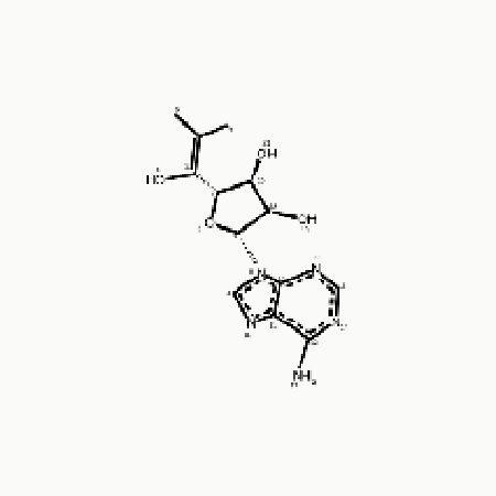 CC(C)=C(O)[C@H]1O[C@@H](n2cnc3c(N)ncnc32)[C@H](O)[C@@H]1O